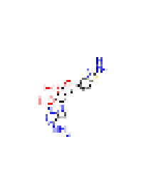 CNc1nc2cc(C3CC4(CO3)CC(n3ccc5c(N)ncnc53)C(O)C4O)ccc2s1